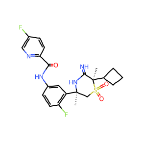 C[C@@]1(C2CCC2)C(=N)N[C@](C)(c2cc(NC(=O)c3ccc(F)cn3)ccc2F)CS1(=O)=O